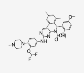 COc1ccc(OC)c(C(c2c(C)cc(C)cc2C)N(C(=O)O)c2ccnc(Nc3ccc(N4CCN(C)CC4)c(OC(F)F)c3)n2)c1